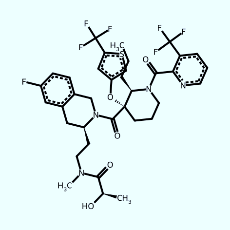 CCC[C@H]1N(C(=O)c2ncccc2C(F)(F)F)CCC[C@@]1(Oc1csc(C(F)(F)F)c1)C(=O)N1Cc2ccc(F)cc2C[C@@H]1CCN(C)C(=O)[C@@H](C)O